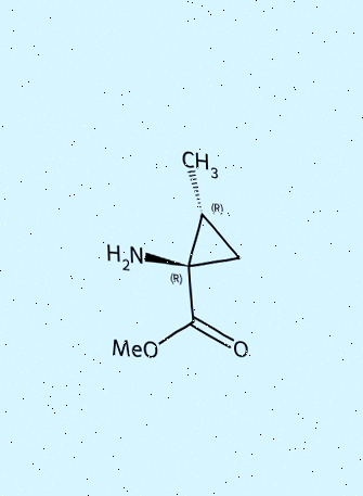 COC(=O)[C@@]1(N)C[C@H]1C